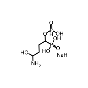 NC(O)CCC(O[PH](=O)O)P(=O)(O)O.[NaH]